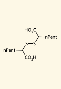 CCCCCC(SSC(CCCCC)C(=O)O)C(=O)O